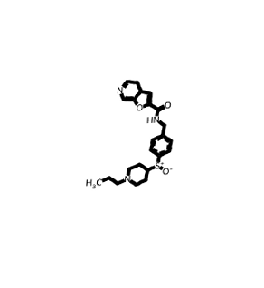 CCCN1CCC([S+]([O-])c2ccc(CNC(=O)C3=CC4CC=NC=C4O3)cc2)CC1